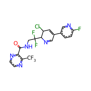 O=C(NCC(F)(F)C1N=CC(c2ccc(F)nc2)=CC1Cl)c1nccnc1C(F)(F)F